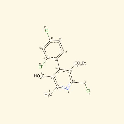 CCOC(=O)c1c(CCl)nc(C)c(C(=O)O)c1-c1ccc(Cl)cc1Cl